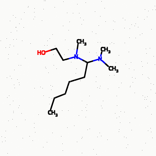 CCCCCC(N(C)C)N(C)CCO